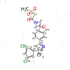 CS(=O)(=O)CC(=O)N1CC2(C1)OCc1cc(C3=NSC(c4cc(Cl)cc(Cl)c4)(C(F)(F)F)C3)ccc12